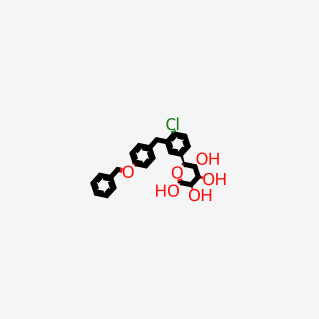 OC1O[C@@H](c2ccc(Cl)c(Cc3ccc(OCc4ccccc4)cc3)c2)[C@H](O)[C@@H](O)[C@@H]1O